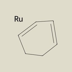 C1=CCCC=C1.[Ru]